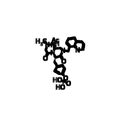 CC(=O)N1[C@H]2CN(Cc3cccc4cccnc34)C(=O)[C@H](Cc3ccc(OP(=O)(O)O)cc3)N2C(=O)CN1C